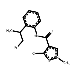 CC(C)CC(C)c1ccccc1NC(=O)c1cn(C)nc1Cl